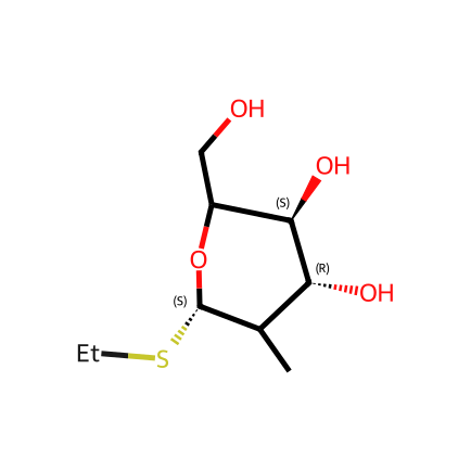 CCS[C@@H]1OC(CO)[C@@H](O)[C@H](O)C1C